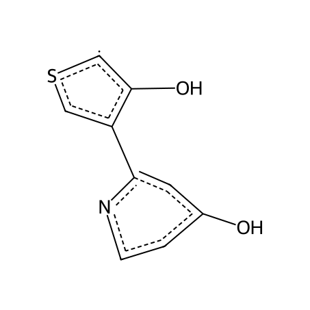 Oc1ccnc(-c2cs[c]c2O)c1